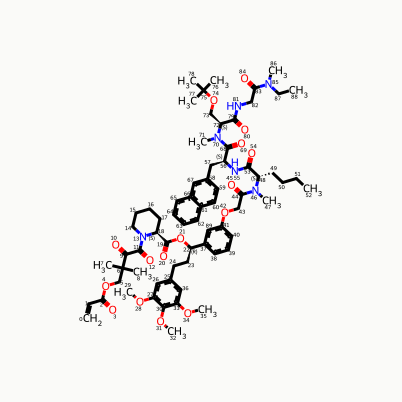 C=CC(=O)OCC(C)(C)C(=O)C(=O)N1CCCC[C@H]1C(=O)O[C@H](CCc1cc(OC)c(OC)c(OC)c1)c1cccc(OCC(=O)N(C)[C@@H](CCCC)C(=O)N[C@@H](Cc2ccc3ccccc3c2)C(=O)N(C)[C@@H](COC(C)(C)C)C(=O)NCC(=O)N(C)CC)c1